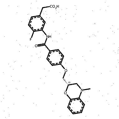 CN1C[C@@H](COc2ccc(C(=O)Nc3cc(CC(=O)O)ccc3F)cc2)Oc2ccccc21